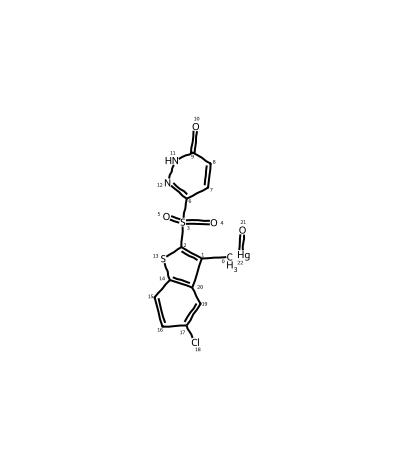 Cc1c(S(=O)(=O)c2ccc(=O)[nH]n2)sc2ccc(Cl)cc12.[O]=[Hg]